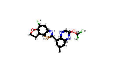 Cc1cc(-c2nc3cc(F)c4c(c3s2)CCO4)c2ncc(OC(F)F)nc2c1